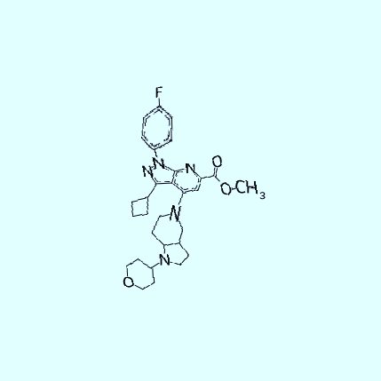 COC(=O)c1cc(N2CCC3C(CCN3C3CCOCC3)C2)c2c(C3CCC3)nn(-c3ccc(F)cc3)c2n1